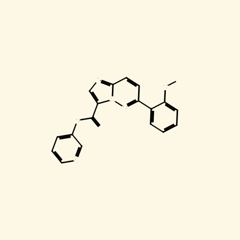 CNc1ccccc1-c1ccc2ncc(C(=O)Nc3cccnc3)n2n1